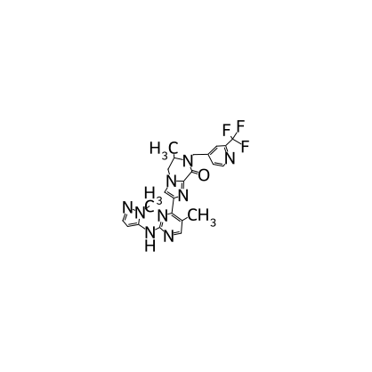 Cc1cnc(Nc2ccnn2C)nc1-c1cn2c(n1)C(=O)N(Cc1ccnc(C(F)(F)F)c1)C(C)C2